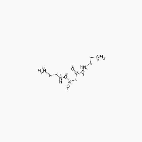 NCCNOC(=O)CC(=O)ONCCN